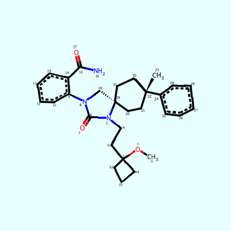 COC1(CCN2C(=O)N(c3ccccc3C(N)=O)C[C@]23CC[C@@](C)(c2ccccc2)CC3)CCC1